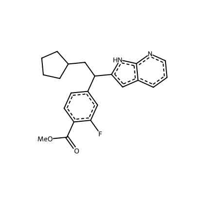 COC(=O)c1ccc(C(CC2CCCC2)c2cc3cccnc3[nH]2)cc1F